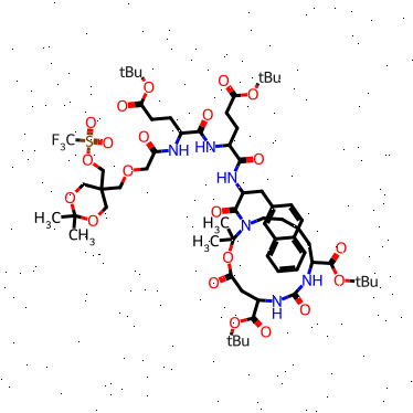 CC(C)(C)OC(=O)CCC(NC(=O)COCC1(COS(=O)(=O)C(F)(F)F)COC(C)(C)OC1)C(=O)NC(CCC(=O)OC(C)(C)C)C(=O)NC(Cc1ccc2ccccc2c1)C(=O)N1CCCCC(C(=O)OC(C)(C)C)NC(=O)NC(C(=O)OC(C)(C)C)CC(=O)OC1(C)C